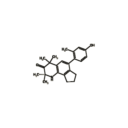 Cc1cc(O)ccc1-c1cc2c(c3c1CCC3)NC(C)(C)C(=O)C2(C)C